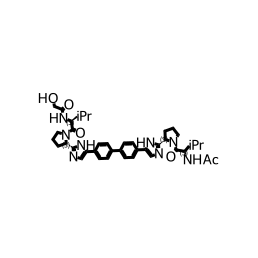 CC(=O)N[C@H](C(=O)N1CCC[C@H]1c1ncc(-c2ccc(-c3ccc(-c4cnc([C@@H]5CCCN5C(=O)[C@@H](NC(=O)CO)C(C)C)[nH]4)cc3)cc2)[nH]1)C(C)C